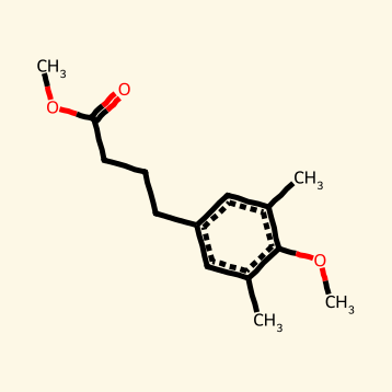 COC(=O)CCCc1cc(C)c(OC)c(C)c1